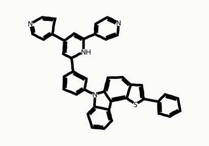 C1=C(c2ccncc2)C=C(c2ccncc2)NC1c1cccc(-n2c3ccccc3c3c4sc(-c5ccccc5)cc4ccc32)c1